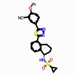 CC(C)Oc1ccc(-c2nnc(-c3cccc4c3CCC[C@@H]4NS(=O)(=O)C3CC3)s2)cc1C#N